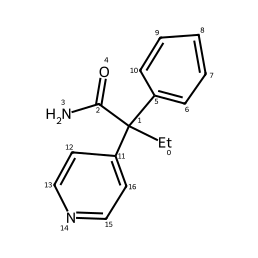 CCC(C(N)=O)(c1ccccc1)c1ccncc1